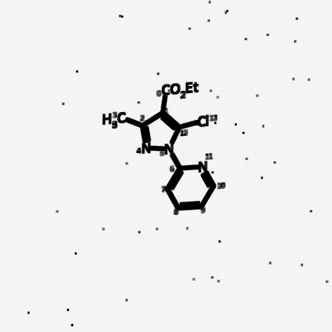 CCOC(=O)c1c(C)nn(-c2ccccn2)c1Cl